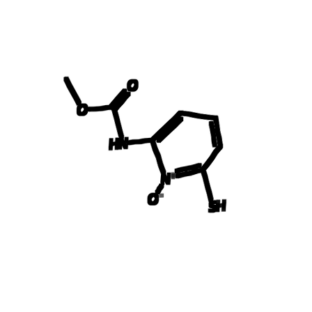 COC(=O)Nc1cccc(S)[n+]1[O-]